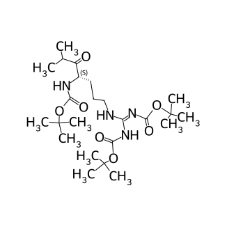 CC(C)C(=O)[C@H](CCCNC(=NC(=O)OC(C)(C)C)NC(=O)OC(C)(C)C)NC(=O)OC(C)(C)C